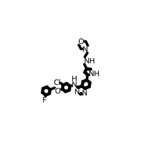 Fc1cccc(COc2ccc(Nc3ncnc4ccc(-c5cc(CNCCN6CCOCC6)c[nH]5)cc34)cc2Cl)c1